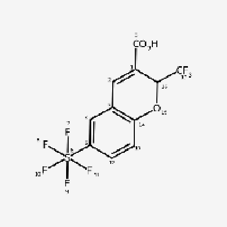 O=C(O)C1=Cc2cc(S(F)(F)(F)(F)F)ccc2OC1C(F)(F)F